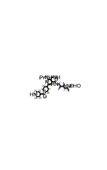 C/C(=C/C(C)=C(\C)CNC(=O)c1cc(C2CCN(C(=O)C3CCNCC3)CC2)nc(NC(C)C)c1C=N)NC=O